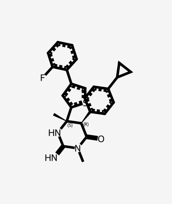 CN1C(=N)N[C@](C)(c2cc(-c3ccccc3F)cs2)[C@@H](c2ccc(C3CC3)cc2)C1=O